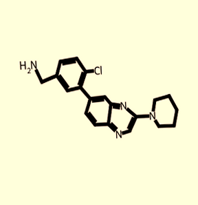 NCc1ccc(Cl)c(-c2ccc3ncc(N4CCCCC4)nc3c2)c1